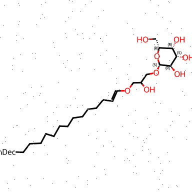 CCCCCCCCCCCCCCCCCCCCCCC=COCC(O)CO[C@H]1O[C@H](CO)[C@H](O)[C@H](O)[C@H]1O